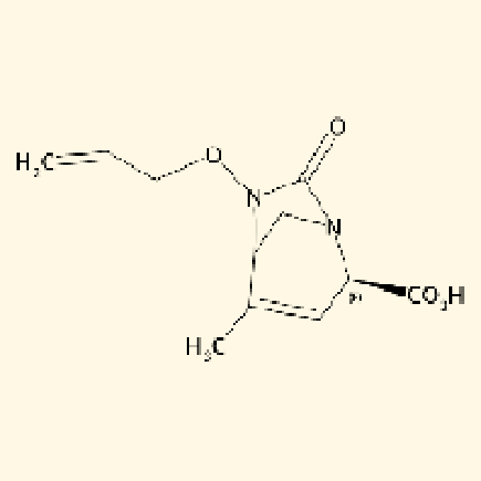 C=CCON1C(=O)N2CC1C(C)=C[C@@H]2C(=O)O